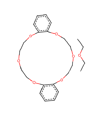 CCOCC.c1ccc2c(c1)OCCOCCOc1ccccc1OCCOCCO2